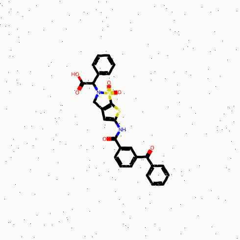 O=C(Nc1cc2c(s1)S(=O)(=O)N(C(C(=O)O)c1ccccc1)C2)c1cccc(C(=O)c2ccccc2)c1